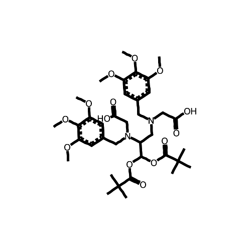 COc1cc(CN(CC(=O)O)CC(C(OC(=O)C(C)(C)C)OC(=O)C(C)(C)C)N(CC(=O)O)Cc2cc(OC)c(OC)c(OC)c2)cc(OC)c1OC